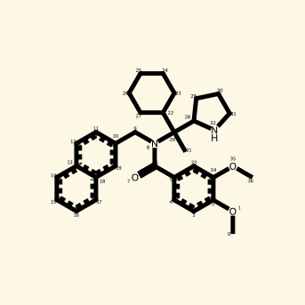 COc1ccc(C(=O)N(Cc2ccc3ccccc3c2)C(C)(C2CCCCC2)C2CCCN2)cc1OC